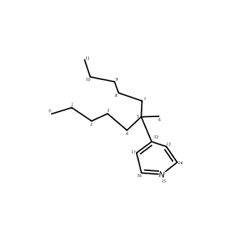 CCCCCC(C)(CCCCC)c1ccncc1